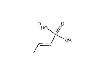 CC=CP(=O)(O)O.[Ti]